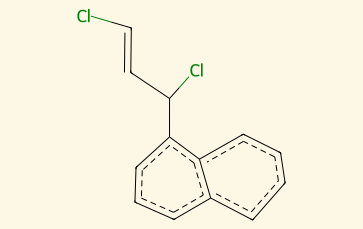 ClC=CC(Cl)c1cccc2ccccc12